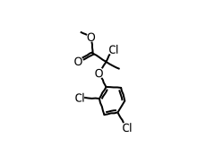 COC(=O)C(C)(Cl)Oc1ccc(Cl)cc1Cl